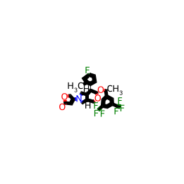 Cc1cc(F)ccc1[C@@H]1[C@@H](O[C@H](C)c2cc(C(F)(F)F)cc(C(F)(F)F)c2)OC[C@@H]2CN(C3=CC(=O)OC3)C[C@H]21